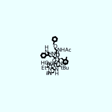 CCC(NC(=O)[C@H](CC(C)C)NC(=O)[C@@H](NC(=O)[C@H](Cc1ccccc1C)NC(=O)[C@@H](Cc1c[nH]c2ccccc12)NC(=O)[C@H](COCc1ccccc1)NC(C)=O)C(C)(C)C)B(O)O